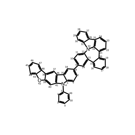 c1ccc(-n2c3ccc(-c4ccc5c(c4)-c4ccccc4-c4cccc6c7ccccc7n-5c46)cc3c3cc4c(cc32)oc2ccccc24)cc1